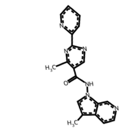 Cc1nc(-c2ccccn2)ncc1C(=O)Nn1cc(C)c2ccncc21